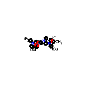 Cc1cccc(-c2cc(C(C)(C)C)ccc2N(c2ccc(C(C)C)cc2)c2ccc3c4cc5c(cc4n4c6ccccc6c2c34)c2ccc(N(c3ccc(C(C)C)cc3)c3ccc(C(C)(C)C)cc3-c3cccc(C)c3)c3c4ccccc4n5c23)c1